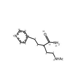 CC(=O)NCCC(CCc1ccncc1)C(N)=O